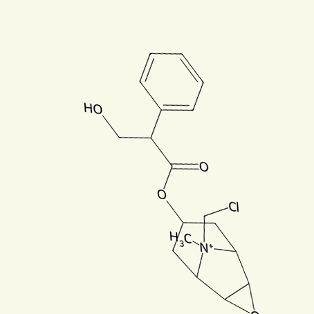 C[N+]1(CCl)C2CC(OC(=O)C(CO)c3ccccc3)CC1C1OC12